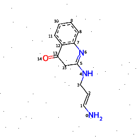 NC=CCNC1=Nc2ccccc2C(=O)C1